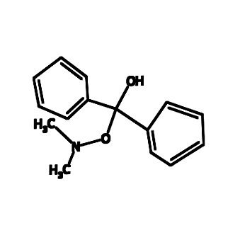 CN(C)OC(O)(c1ccccc1)c1ccccc1